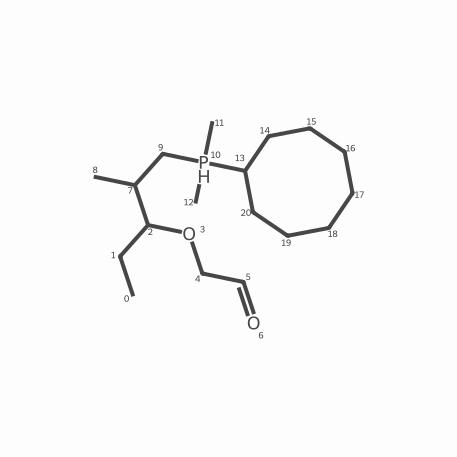 CCC(OCC=O)C(C)C[PH](C)(C)C1CCCCCCC1